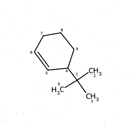 CC(C)(C)C1C=CCCC1